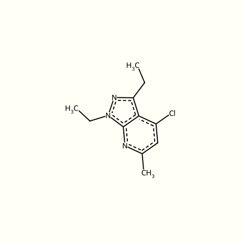 CCc1nn(CC)c2nc(C)cc(Cl)c12